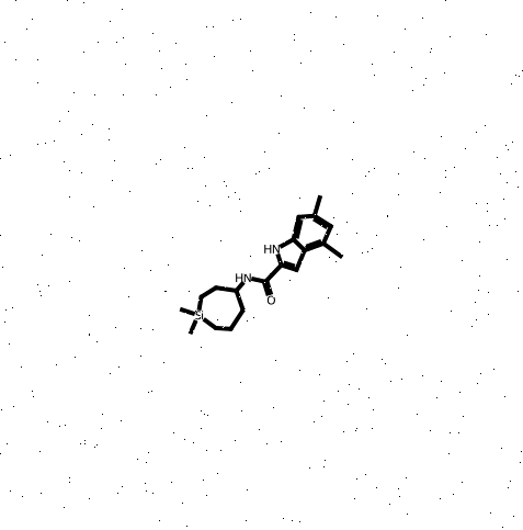 Cc1cc(C)c2cc(C(=O)NC3CCC[Si](C)(C)CC3)[nH]c2c1